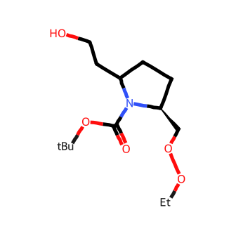 CCOOC[C@@H]1CCC(CCO)N1C(=O)OC(C)(C)C